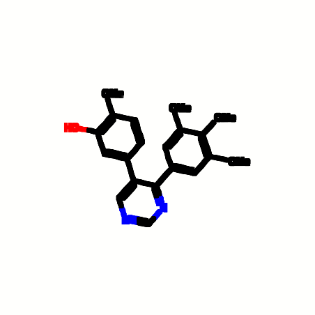 COc1ccc(-c2cncnc2-c2cc(OC)c(OC)c(OC)c2)cc1O